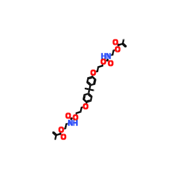 C=C(C)C(=O)OCCNC(=O)OCCCOc1ccc(C(C)(C)c2ccc(OCCCOC(=O)NCCOC(=O)C(=C)C)cc2)cc1